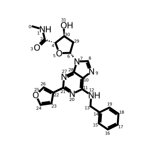 CNC(=O)[C@H]1O[C@@H](n2cnc3c(NCc4ccccc4)nc(-c4ccoc4)nc32)C[C@@H]1O